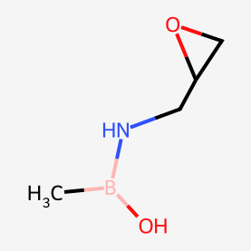 CB(O)NCC1CO1